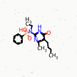 CCCCc1c(C)nc(N(CC)P(=O)(O)c2ccccc2)[nH]c1=O